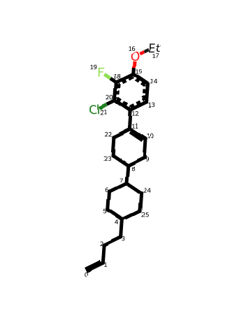 C=CCCC1CCC(C2CC=C(c3ccc(OCC)c(F)c3Cl)CC2)CC1